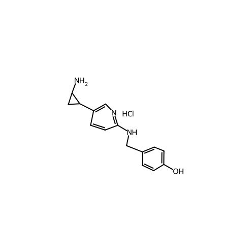 Cl.NC1CC1c1ccc(NCc2ccc(O)cc2)nc1